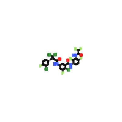 O=C(Nc1ccc(F)c(NC(=O)C(F)F)c1F)c1cc(NC(=O)[C@H]2[C@H](c3ccc(F)c(Cl)c3)C2(Cl)Cl)cc(F)c1Cl